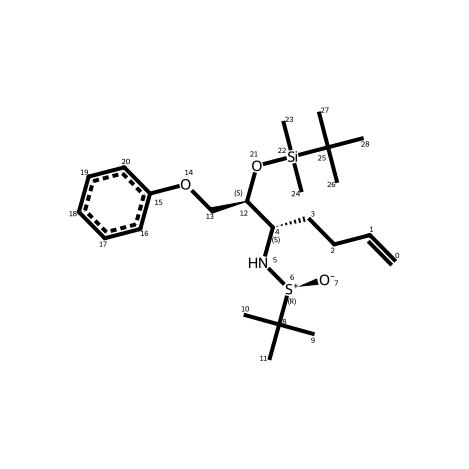 C=CCC[C@H](N[S@@+]([O-])C(C)(C)C)[C@@H](COc1ccccc1)O[Si](C)(C)C(C)(C)C